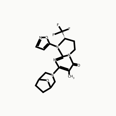 Cc1c(N2CC3CCC(C2)O3)nc2n(c1=O)CC[C@@H](C(F)(F)F)N2c1ccno1